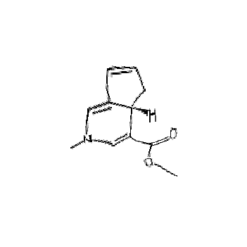 COC(=O)C1=CN(C)C=C2C=CC[C@@H]21